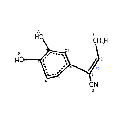 N#C/C(=C/C(=O)O)c1ccc(O)c(O)c1